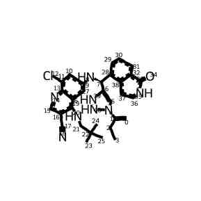 C=C(CC)N1C=C([C@@H](Nc2cc(Cl)c3ncc(C#N)c(NCC(C)(C)C)c3c2)c2cccc3c(=O)[nH]ccc23)NN1